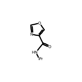 CC(C)NC(=O)c1cocn1